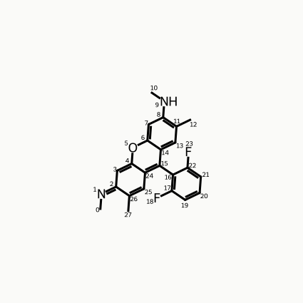 C/N=c1/cc2oc3cc(NC)c(C)cc3c(-c3c(F)cccc3F)c-2cc1C